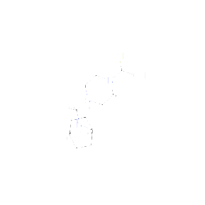 CC(S)N1CCN(C(=O)N2C3CCC2CC3)CC1